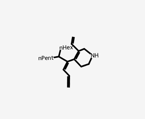 C=C/C=C(\C1=C(C=C)CNCC1)C(CCCCC)CCCCCC